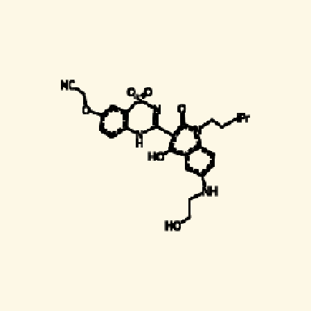 CC(C)CCn1c(=O)c(C2=NS(=O)(=O)c3cc(OCC#N)ccc3N2)c(O)c2cc(NCCO)ccc21